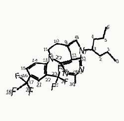 CCCC(CCC)N1CC2CCN(c3ccc(C(F)(F)F)cc3C(F)(F)F)c3nc(C)nc1c32